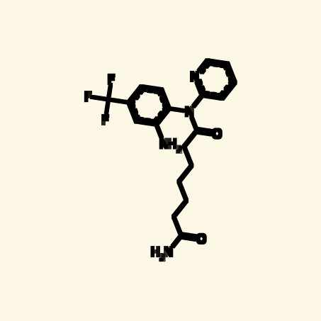 NC(=O)CCCCCC(=O)N(c1ccccn1)c1ccc(C(F)(F)F)cc1N